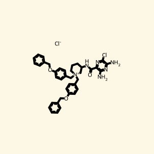 Nc1nc(N)c(C(=O)NC2CCC[N+](Cc3ccc(OCc4ccccc4)cc3)(Cc3ccc(OCc4ccccc4)cc3)C2)nc1Cl.[Cl-]